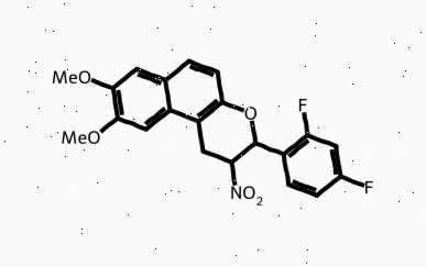 COc1cc2ccc3c(c2cc1OC)CC([N+](=O)[O-])C(c1ccc(F)cc1F)O3